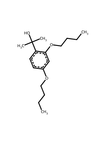 CCCCOc1ccc(C(C)(C)O)c(OCCCC)c1